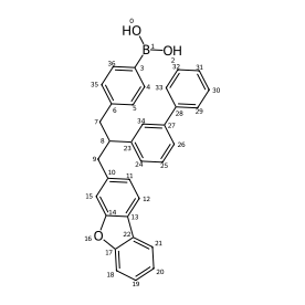 OB(O)c1ccc(CC(Cc2ccc3c(c2)oc2ccccc23)c2cccc(-c3ccccc3)c2)cc1